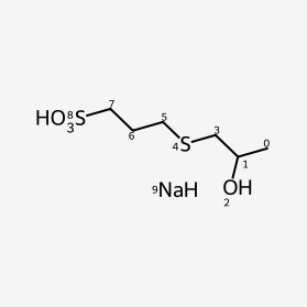 CC(O)CSCCCS(=O)(=O)O.[NaH]